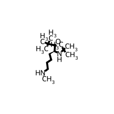 CNCCCC[C@H](NC(C)(C)C)C(=O)C(C)(C)C